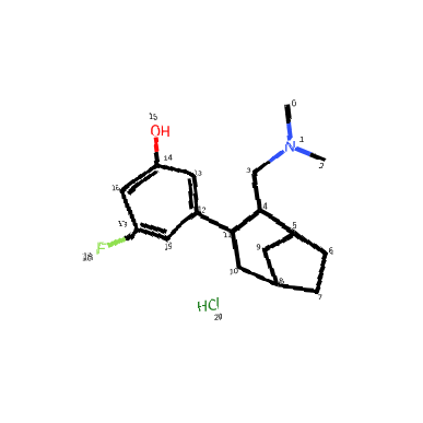 CN(C)CC1C2CCC(C2)CC1c1cc(O)cc(F)c1.Cl